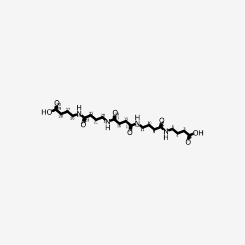 O=C(O)CCCNC(=O)CCCNC(=O)CCC(=O)NCCCC(=O)NCCCC(=O)O